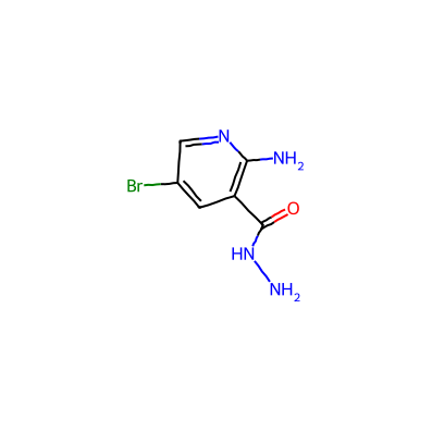 NNC(=O)c1cc(Br)cnc1N